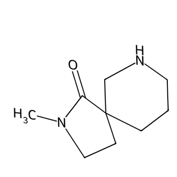 CN1CCC2(CCCNC2)C1=O